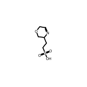 O=S(=O)(O)CCC1COCC=N1